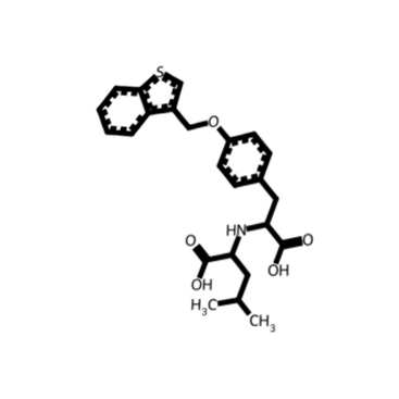 CC(C)CC(NC(Cc1ccc(OCc2csc3ccccc23)cc1)C(=O)O)C(=O)O